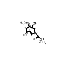 CNC(=O)OC1/C=C/C(O)CC(OC)C(O)C1